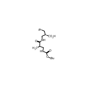 CC(C)C[C@H](CNC(=O)C(C)CNC(=O)OC(C)(C)C)C(=O)O